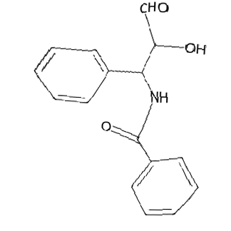 O=CC(O)C(NC(=O)c1ccccc1)c1ccccc1